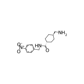 NC[C@H]1CC[C@H](C(=O)NCc2ccc([N+](=O)[O-])cc2)CC1